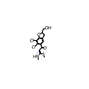 CN/C(=C/C(=O)c1cc2c(c(Cl)c1Cl)OC(CO)C2)SC